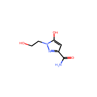 NC(=O)c1cc(O)n(CCO)n1